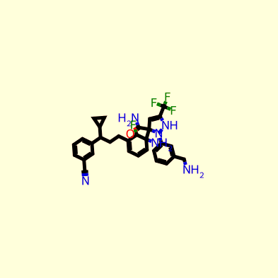 N#Cc1cccc(C(CCC2=CC=CC(N)(C3(C(N)=O)C=C(C(F)(F)F)NN3c3cccc(CN)c3)C2F)C2CC2)c1